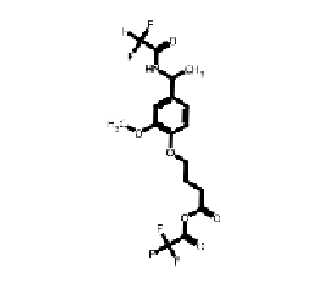 COc1cc(C(C)NC(=O)C(F)(F)F)ccc1OCCCC(=O)OC(=O)C(F)(F)F